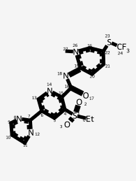 CCS(=O)(=O)c1cc(-c2ncccn2)cnc1C(=O)N=c1ccc(SC(F)(F)F)cn1C